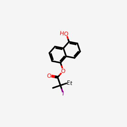 CCC(C)(I)C(=O)Oc1cccc2c(O)cccc12